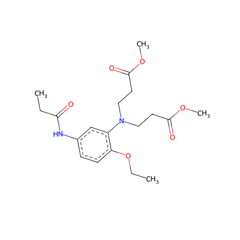 CCOc1ccc(NC(=O)CC)cc1N(CCC(=O)OC)CCC(=O)OC